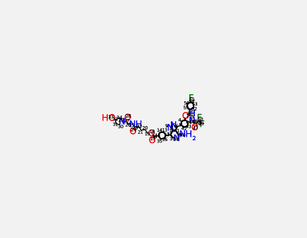 C[C@H](Oc1cc(-c2nn(C)c3c(-c4ccc(C(=O)OCCCCC(=O)NCC(=O)N5CCC(O)C5)cc4)cnc(N)c23)ccc1N[S+]([O-])C(F)F)c1ccc(F)cc1